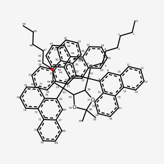 CCCCCCOC(c1cc2ccccc2c2ccccc12)(c1cc2ccccc2c2ccccc12)C1OC(C)(C)OC1C(OCCCCCC)(c1cc2ccccc2c2ccccc12)c1cc2ccccc2c2ccccc12